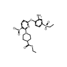 CCSC(=O)C1CCN(c2nc(Oc3ccc(S(=O)(=O)CC)cc3N)ccc2[N+](=O)[O-])CC1